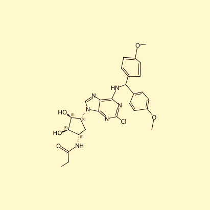 CCC(=O)N[C@H]1C[C@@H](n2cnc3c(NC(c4ccc(OC)cc4)c4ccc(OC)cc4)nc(Cl)nc32)[C@H](O)[C@@H]1O